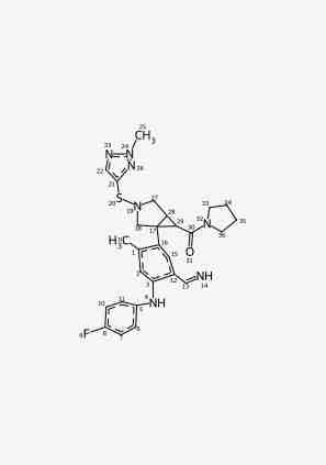 Cc1cc(Nc2ccc(F)cc2)c(C=N)cc1C12CN(Sc3cnn(C)n3)CC1C2C(=O)N1CCCC1